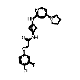 O=C(COc1ccc(Cl)c(F)c1)NC12CC(Nc3cc(N4CCCC4)ccn3)(C1)C2